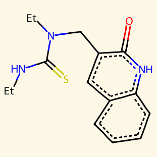 CCNC(=S)N(CC)Cc1cc2ccccc2[nH]c1=O